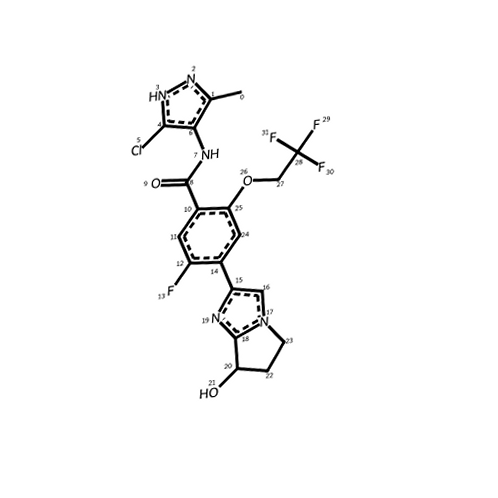 Cc1n[nH]c(Cl)c1NC(=O)c1cc(F)c(-c2cn3c(n2)C(O)CC3)cc1OCC(F)(F)F